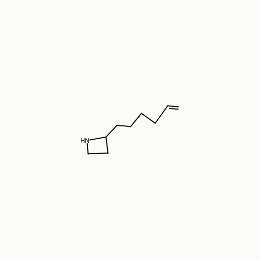 C=CCCCCC1CCN1